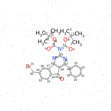 CC(C)(C)OC(=O)N(C(=O)OC(C)(C)C)c1nc(-c2ccccc2)c2c(n1)-c1cc(CBr)ccc1C2=O